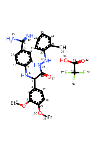 CCOc1cc(C(Nc2ccc(C(=N)N)cc2)C(=O)NNc2ccccc2C)ccc1OC(C)C.O=C(O)C(F)(F)F